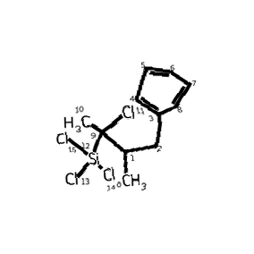 CC(Cc1ccccc1)C(C)(Cl)[Si](Cl)(Cl)Cl